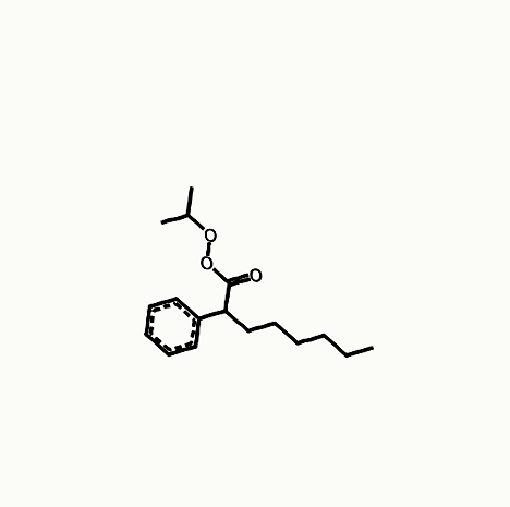 CCCCCCC(C(=O)OOC(C)C)c1ccccc1